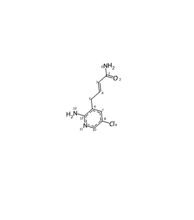 NC(=O)/C=C/Cc1cc(Cl)cnc1N